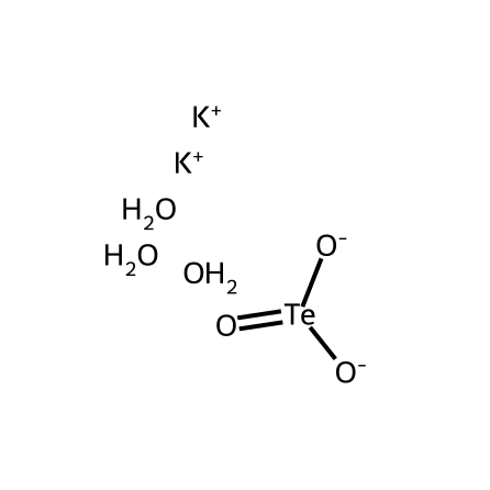 O.O.O.O=[Te]([O-])[O-].[K+].[K+]